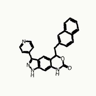 O=C1Nc2cc3[nH]nc(-c4ccncc4)c3cc2C(Cc2ccc3ccccc3c2)O1